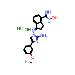 COc1cccc(-c2cn(/N=C3\CCc4c(C(=N)NO)cccc43)c(N)n2)c1.Cl.Cl